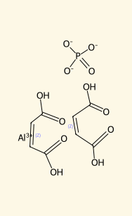 O=C(O)/C=C\C(=O)O.O=C(O)/C=C\C(=O)O.O=P([O-])([O-])[O-].[Al+3]